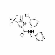 O=C(NCc1ccncc1)C1=CC(C(F)(F)F)NN1c1ccccc1Cl